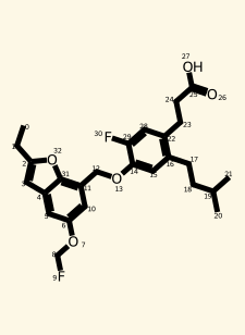 CCc1cc2cc(OCF)cc(COc3cc(CCC(C)C)c(CCC(=O)O)cc3F)c2o1